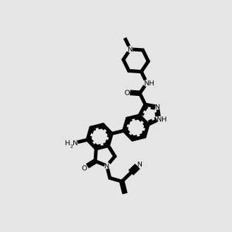 C=C(C#N)CN1Cc2c(-c3ccc4[nH]nc(C(=O)NC5CCN(C)CC5)c4c3)ccc(N)c2C1=O